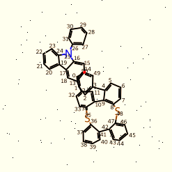 c1ccc(-c2cccc3c2-c2cc(-c4ccc5c(c4)c4ccccc4n5-c4ccccc4)ccc2Sc2ccccc2-c2ccccc2S3)cc1